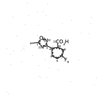 Cc1nc(-c2ccc(F)cc2C(=O)O)no1